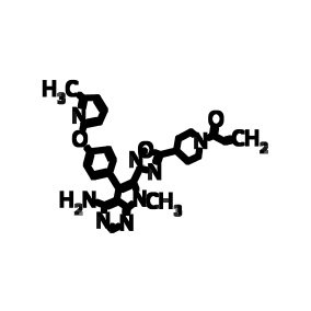 C=CC(=O)N1CCC(c2nc(-c3c(-c4ccc(Oc5cccc(C)n5)cc4)c4c(N)ncnc4n3C)no2)CC1